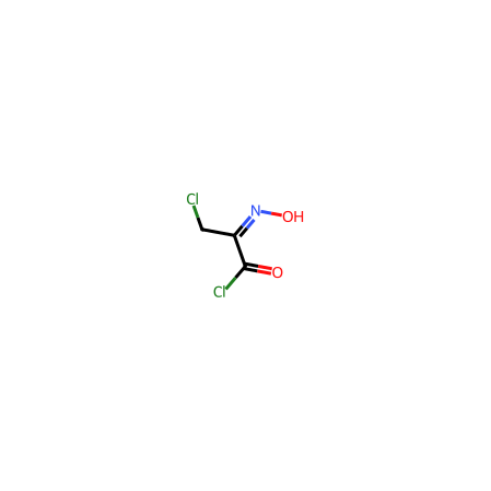 O=C(Cl)C(CCl)=NO